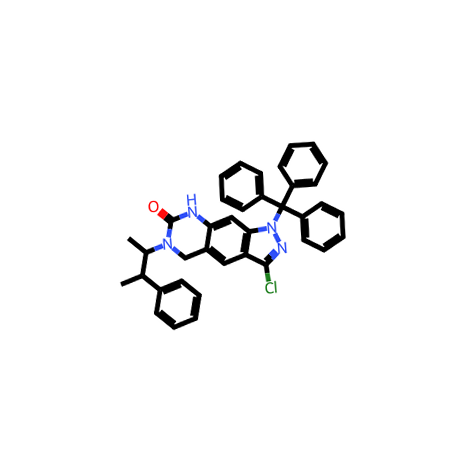 CC(c1ccccc1)C(C)N1Cc2cc3c(Cl)nn(C(c4ccccc4)(c4ccccc4)c4ccccc4)c3cc2NC1=O